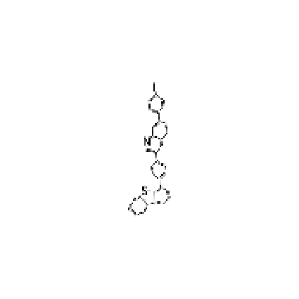 Ic1ccc(-c2ccc3cc(-c4ccc(-c5cccc6c5sc5ccccc56)cc4)cnc3c2)cc1